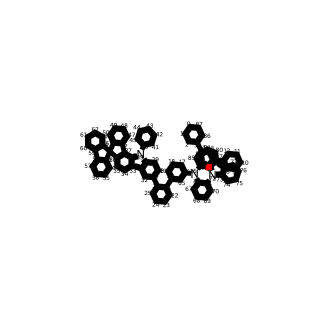 c1ccc(-c2cc(-c3ccccc3)cc(N(c3cccc(-c4ccccc4-c4ccc5c(c4)c4ccc6c(c4n5-c4ccccc4)-c4ccccc4C64c5ccccc5-c5ccccc54)c3)c3ccccc3-n3c4ccccc4c4ccccc43)c2)cc1